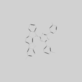 Cc1cccc(-c2nc(-c3cccc(C)c3)nc(-n3c4ccccc4c4ccc5c6cc(C)ccc6oc5c43)n2)c1